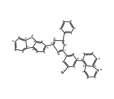 Brc1cc(-c2nc(-c3ccccc3)nc(-c3ccc4c(c3)sc3ccccc34)n2)cc(-c2cccc3ncccc23)c1